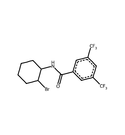 O=C(NC1CCCCC1Br)c1cc(C(F)(F)F)cc(C(F)(F)F)c1